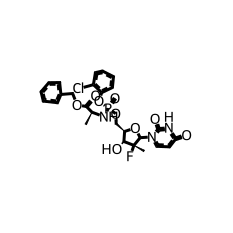 C[C@H](NP(=O)(OC[C@H]1OC(n2ccc(=O)[nH]c2=O)[C@](C)(F)[C@@H]1O)Oc1ccccc1Cl)C(=O)OCc1ccccc1